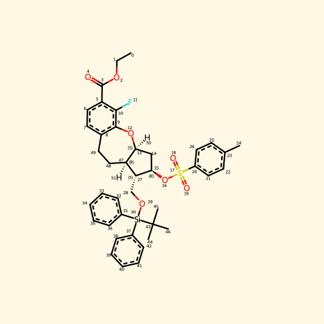 CCOC(=O)c1ccc2c(c1F)O[C@H]1C[C@@H](OS(=O)(=O)c3ccc(C)cc3)[C@H](CO[Si](c3ccccc3)(c3ccccc3)C(C)(C)C)[C@H]1CC2